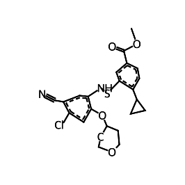 COC(=O)c1ccc(C2CC2)c(SNc2cc(C#N)c(Cl)cc2OC2CCOCC2)c1